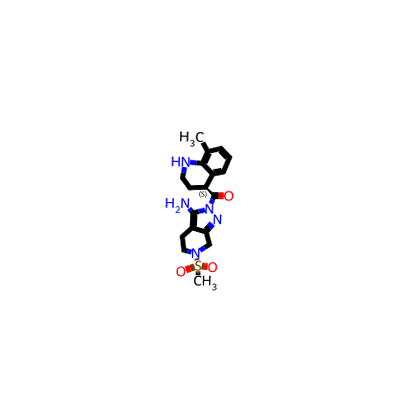 Cc1cccc2c1NCC[C@@H]2C(=O)n1nc2c(c1N)CCN(S(C)(=O)=O)C2